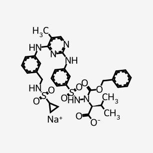 Cc1cnc(Nc2cccc(S(=O)(=O)NN(C(=O)OCc3ccccc3)[C@H](C(=O)[O-])C(C)C)c2)nc1Nc1cccc(CNS(=O)(=O)C2CC2)c1.[Na+]